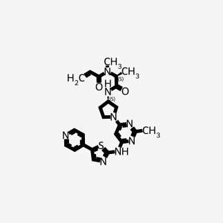 C=CC(=O)N(C)[C@@H](C)C(=O)N[C@H]1CCN(c2cc(Nc3ncc(-c4ccncc4)s3)nc(C)n2)C1